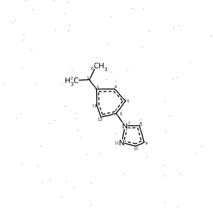 CC(C)c1ccc(-n2[c]ccn2)cc1